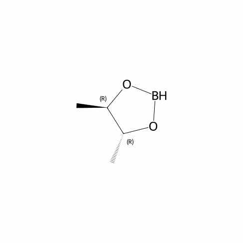 C[C@H]1OBO[C@@H]1C